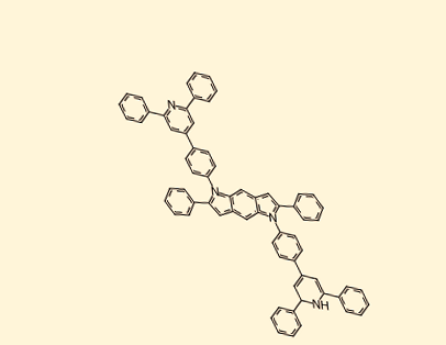 C1=C(c2ccc(-n3c(-c4ccccc4)cc4cc5c(cc(-c6ccccc6)n5-c5ccc(-c6cc(-c7ccccc7)nc(-c7ccccc7)c6)cc5)cc43)cc2)C=C(c2ccccc2)NC1c1ccccc1